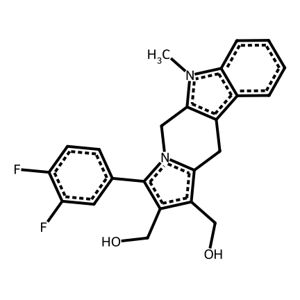 Cn1c2c(c3ccccc31)Cc1c(CO)c(CO)c(-c3ccc(F)c(F)c3)n1C2